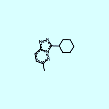 Cc1ccc2nnc(C3CCCCC3)n2n1